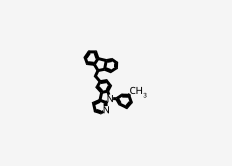 Cc1cccc(-n2c3ccc(CC4c5ccccc5-c5ccccc54)cc3c3cccnc32)c1